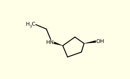 CCN[C@@H]1CC[C@H](O)C1